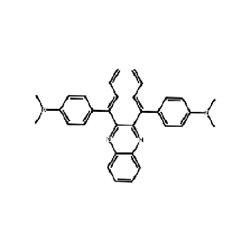 C=CC=C(c1ccc(N(C)C)cc1)c1nc2ccccc2nc1C(=CC=C)c1ccc(N(C)C)cc1